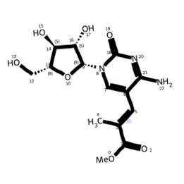 COC(=O)/C(C)=C/c1cn([C@@H]2O[C@H](CO)[C@@H](O)[C@@H]2O)c(=O)nc1N